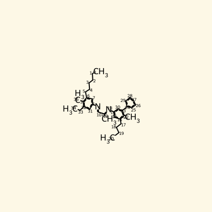 CCCCCCc1cc(N=CC(C)=Nc2cc(CCCC)c(C)c(-c3ccccc3)c2)cc(CC)c1C